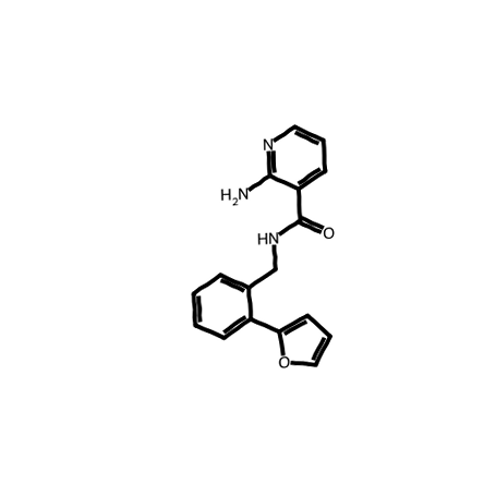 Nc1ncccc1C(=O)NCc1ccccc1-c1ccco1